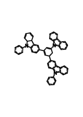 C1=CC2c3cc(C4=CC(c5ccc6c(c5)c5ccccc5n6-c5ccccc5)CC(n5c6ccccc6c6ccccc65)=C4)ccc3N(c3ccccc3)C2C=C1